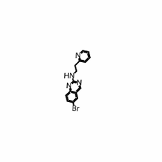 Brc1ccc2nc(NCCc3ccccn3)ncc2c1